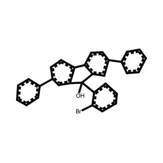 OC1(c2ccccc2Br)c2cc(-c3ccccc3)ccc2-c2ccc(-c3ccccc3)cc21